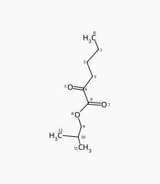 CCCCC(=O)C(=O)OCC(C)C